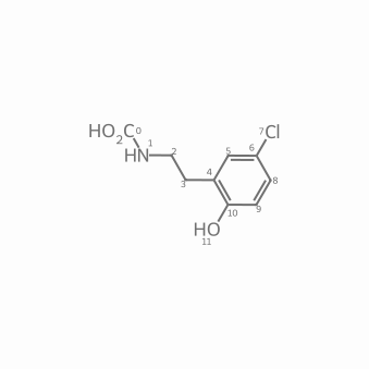 O=C(O)NCCc1cc(Cl)ccc1O